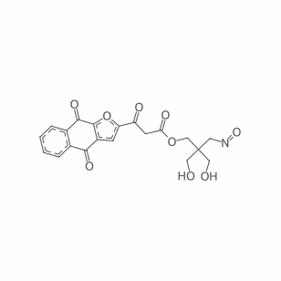 O=NCC(CO)(CO)COC(=O)CC(=O)c1cc2c(o1)C(=O)c1ccccc1C2=O